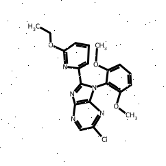 CCOc1cccc(-c2nc3ncc(Cl)nc3n2-c2c(OC)cccc2OC)n1